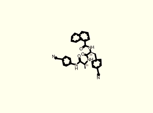 C[C@H](NC(=O)[C@H](Cc1ccc(C#N)cc1)NC(=O)c1cccc2ccccc12)C(=O)Nc1ccc(C#N)cc1